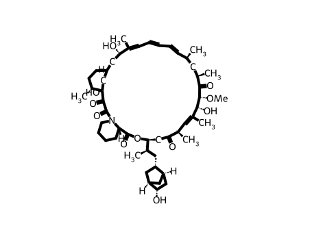 CO[C@H]1C(=O)[C@H](C)C[C@H](C)/C=C/C=C/C=C(\C)[C@@H](O)C[C@@H]2CC[C@@H](C)[C@@](O)(C2)C(=O)C(=O)N2CCCC[C@H]2C(=O)O[C@H]([C@H](C)C[C@H]2C[C@H]3C[C@@H]2C[C@@H]3O)CC(=O)[C@H](C)/C=C(\C)[C@H]1O